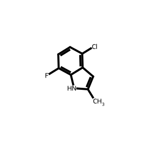 Cc1cc2c(Cl)ccc(F)c2[nH]1